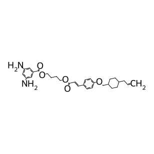 C=CCC1CCC(COc2ccc(/C=C/C(=O)OCCCCOC(=O)c3cc(N)cc(N)c3)cc2)CC1